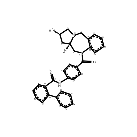 N[C@@H]1C[C@H]2CN(C(=O)c3ccc(NC(=O)c4ccccc4-c4ccccc4)cc3)c3ccccc3CN2C1